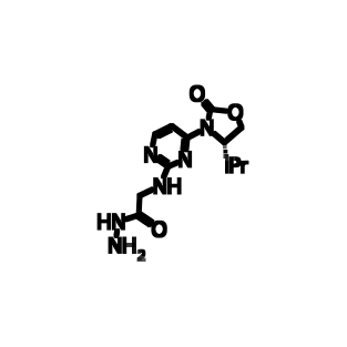 CC(C)[C@H]1COC(=O)N1c1ccnc(NCC(=O)NN)n1